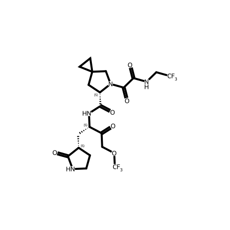 O=C(NCC(F)(F)F)C(=O)N1CC2(CC2)C[C@H]1C(=O)N[C@@H](C[C@@H]1CCNC1=O)C(=O)COC(F)(F)F